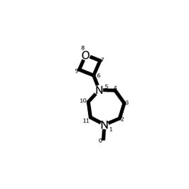 CN1CCCN(C2COC2)CC1